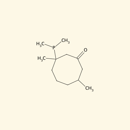 CC1CCCC(C)(P(C)C)CC(=O)C1